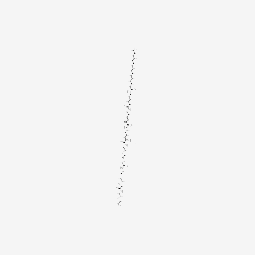 N[C@@H](CCCCNC(=O)CCCCCNC(=O)CCCCCCCCCCCCCCCS)C(=O)NCCCC[C@H](N)C(=O)NCCOCCOCC(=O)NCCOCCOCC(=O)NCCOCCO